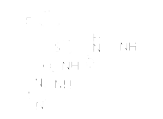 O=C(Nc1cnccn1)Nc1sc(-c2cccc(F)c2)cc1C(=O)N[C@H]1CCCNC1